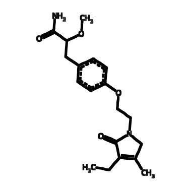 CCC1=C(C)CN(CCOc2ccc(CC(OC)C(N)=O)cc2)C1=O